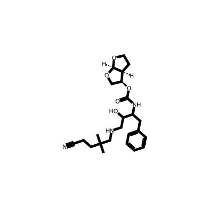 CC(C)(CCC#N)CNCC(O)C(Cc1ccccc1)NC(=O)O[C@H]1CO[C@H]2OCC[C@H]21